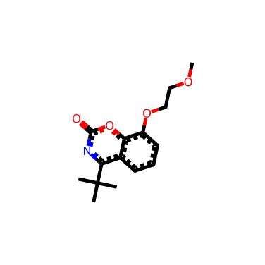 COCCOc1cccc2c(C(C)(C)C)nc(=O)oc12